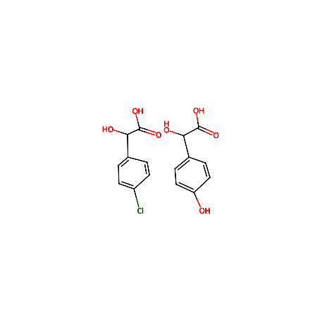 O=C(O)C(O)c1ccc(Cl)cc1.O=C(O)C(O)c1ccc(O)cc1